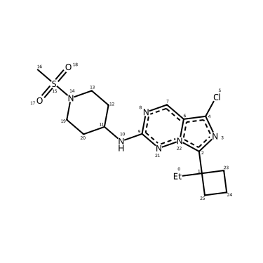 CCC1(c2nc(Cl)c3cnc(NC4CCN(S(C)(=O)=O)CC4)nn23)CCC1